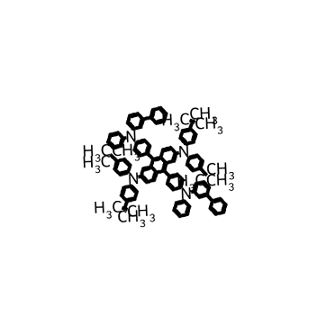 CC(C)(C)c1ccc(N(c2ccc(C(C)(C)C)cc2)c2ccc3c(-c4ccc(N(c5ccccc5)c5cccc(-c6ccccc6)c5)cc4)c4cc(N(c5ccc(C(C)(C)C)cc5)c5ccc(C(C)(C)C)cc5)ccc4c(-c4ccc(N(c5ccccc5)c5cccc(-c6ccccc6)c5)cc4)c3c2)cc1